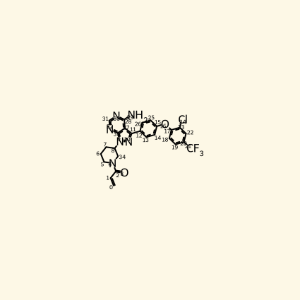 C=CC(=O)N1CCCC(n2nc(-c3ccc(Oc4ccc(C(F)(F)F)cc4Cl)cc3)c3c(N)ncnc32)C1